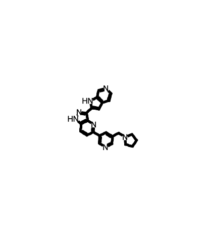 c1cc2cc(-c3n[nH]c4ccc(-c5cncc(CN6CCCC6)c5)nc34)[nH]c2cn1